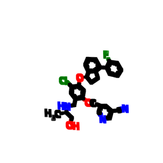 C[C@H](CO)NCc1cc(Cl)c(O[C@H]2CCc3c(-c4ccccc4F)cccc32)cc1OCc1cncc(C#N)c1